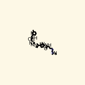 C=N/C(C)=C\C=C/CCC(=O)Nc1ccc(C2CCN(c3nnc(C(=O)NCc4cccc(C)n4)s3)C2)nn1